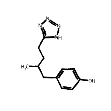 CC(CCc1nnn[nH]1)Cc1ccc(O)cc1